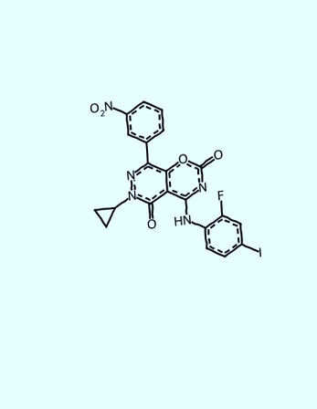 O=c1nc(Nc2ccc(I)cc2F)c2c(=O)n(C3CC3)nc(-c3cccc([N+](=O)[O-])c3)c2o1